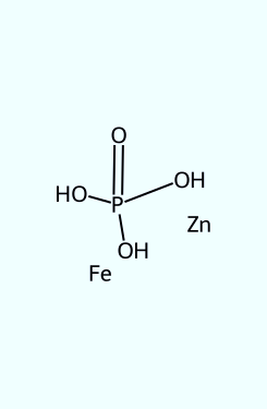 O=P(O)(O)O.[Fe].[Zn]